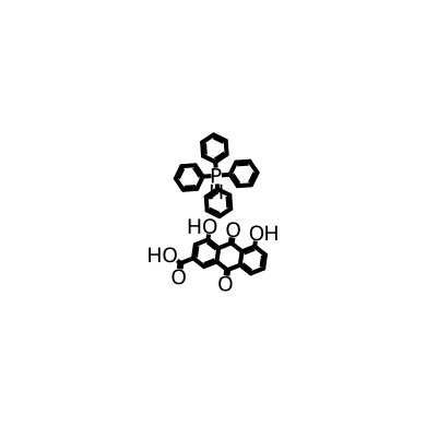 O=C(O)c1cc(O)c2c(c1)C(=O)c1cccc(O)c1C2=O.c1ccc([PH](c2ccccc2)(c2ccccc2)c2ccccc2)cc1